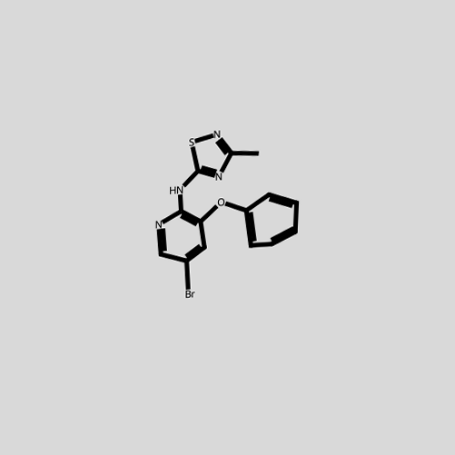 Cc1nsc(Nc2ncc(Br)cc2Oc2ccccc2)n1